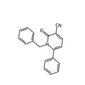 N#Cc1ccc(-c2ccccc2)n(Cc2ccccc2)c1=O